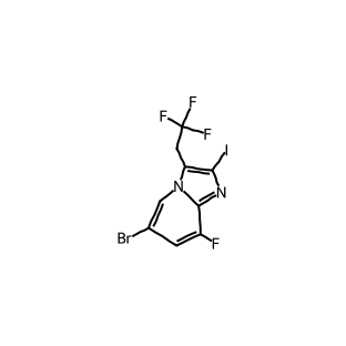 Fc1cc(Br)cn2c(CC(F)(F)F)c(I)nc12